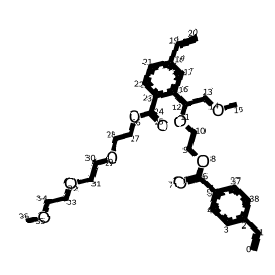 C=Cc1ccc(C(=O)OCCOC(COC)c2cc(C=C)ccc2C(=O)OCCOCCOCCOC)cc1